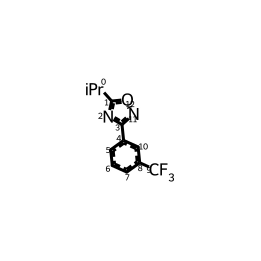 CC(C)c1nc(-c2cccc(C(F)(F)F)c2)no1